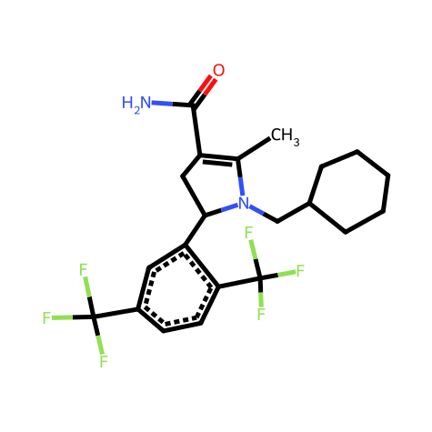 CC1=C(C(N)=O)CC(c2cc(C(F)(F)F)ccc2C(F)(F)F)N1CC1CCCCC1